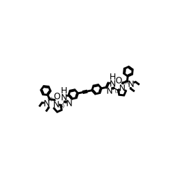 CCN(CC)[C@@H](C(=O)N1CCC[C@H]1c1nc(-c2ccc(C#Cc3ccc4[nH]c([C@@H]5CCCN5C(=O)[C@@H](c5ccccc5)N(CC)CC)nc4c3)cc2)c[nH]1)c1ccccc1